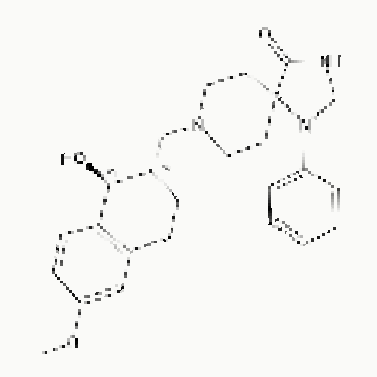 COc1ccc2c(c1)CC[C@@H](CN1CCC3(CC1)C(=O)NCN3c1ccccc1)[C@@H]2O